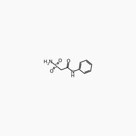 NS(=O)(=O)CC(=O)Nc1ccccc1